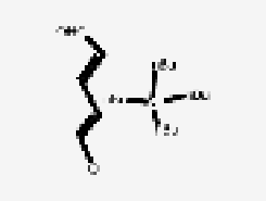 CCCC[N+](CCCC)(CCCC)CCCC.O=C/C=C/C=C/[O-]